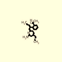 C=C=CC1=CC/C(=C\C(=C/C=C)c2ccccc2C(=C)C)N=C(N)C1